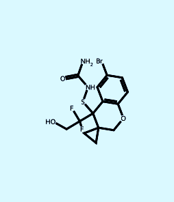 NC(=O)NSC1(C(F)(F)CO)c2cc(Br)ccc2OCC12CC2